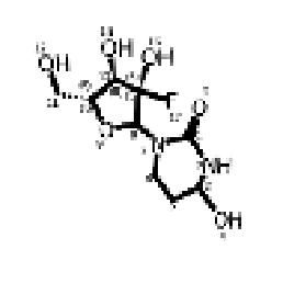 O=C1NC(O)CCN1C1O[C@H](CO)[C@@H](O)[C@]1(O)F